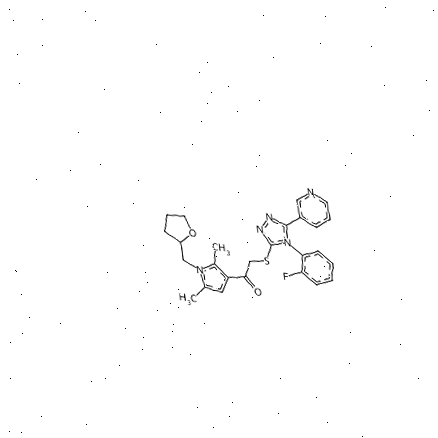 Cc1cc(C(=O)CSc2nnc(-c3cccnc3)n2-c2ccccc2F)c(C)n1CC1CCCO1